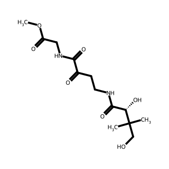 COC(=O)CNC(=O)C(=O)CCNC(=O)[C@H](O)C(C)(C)CO